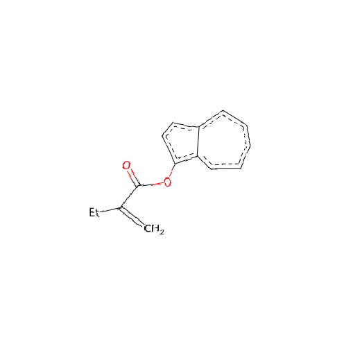 C=C(CC)C(=O)Oc1ccc2cccccc1-2